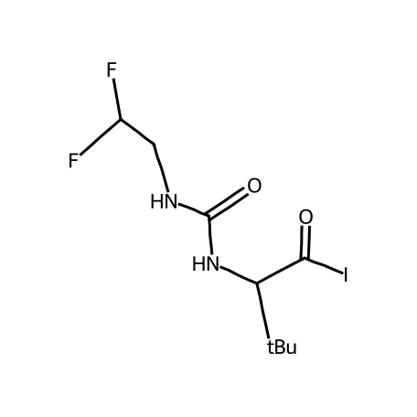 CC(C)(C)C(NC(=O)NCC(F)F)C(=O)I